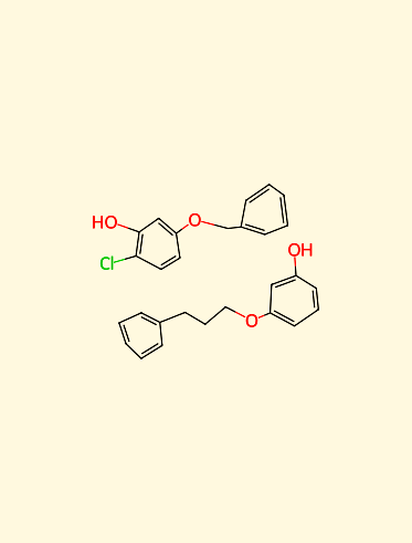 Oc1cc(OCc2ccccc2)ccc1Cl.Oc1cccc(OCCCc2ccccc2)c1